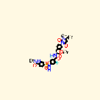 CCNC(=O)c1ccc(S(=O)(=O)Nc2cc(F)c(C(=O)N[C@@H](Cc3ccc(-n4c(=O)cc(C(C)C)n(C)c4=O)cc3)C(=O)OC(C)C)c(F)c2)cc1